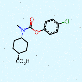 CN(C(=O)Oc1ccc(Cl)cc1)[C@H]1CC[C@H](C(=O)O)CC1